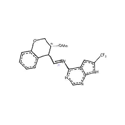 CO[C@H]1COc2ccccc2C1/C=N/c1ncnc2[nH]c(C(F)(F)F)cc12